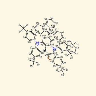 CC(C)(C)c1ccc(N2c3ccc(C(C)(C)C)cc3B3c4sc5cc(C(C)(C)C)ccc5c4N(c4ccc5c(c4)C(C)(C)CCC5(C)C)c4cc([Si](c5ccccc5)(c5ccccc5)c5ccccc5)cc2c43)cc1